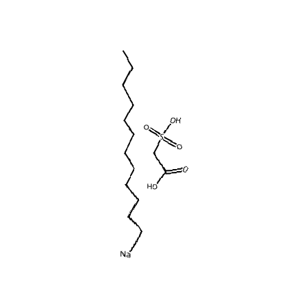 CCCCCCCCCCC[CH2][Na].O=C(O)CS(=O)(=O)O